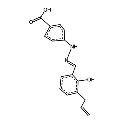 C=CCc1cccc(/C=N/Nc2ccc(C(=O)O)cc2)c1O